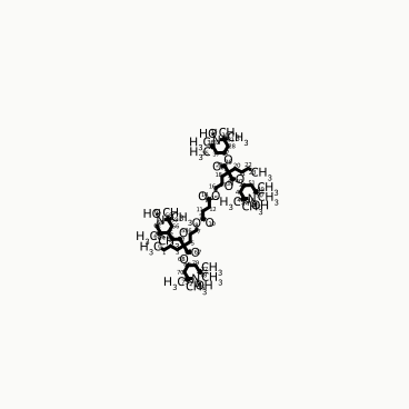 CCCCC(CCCOC(=O)CCC(=O)OCCCC(CCCC)(C(=O)OC1CC(C)(C)N(O)C(C)(C)C1)C(=O)OC1CC(C)(C)N(O)C(C)(C)C1)(C(=O)CC1CC(C)(C)N(O)CC1(C)C)C(=O)OC1CC(C)(C)N(O)C(C)(C)C1